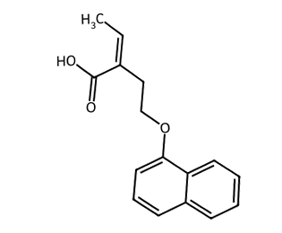 CC=C(CCOc1cccc2ccccc12)C(=O)O